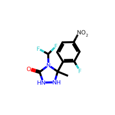 CC1(c2ccc([N+](=O)[O-])cc2F)NNC(=O)N1C(F)F